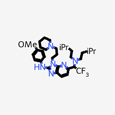 COc1ccc(Nc2nc3ccc(C(N(CCC(C)C)CCC(C)C)C(F)(F)F)nc3n2CCCN2CCCCC2)cc1